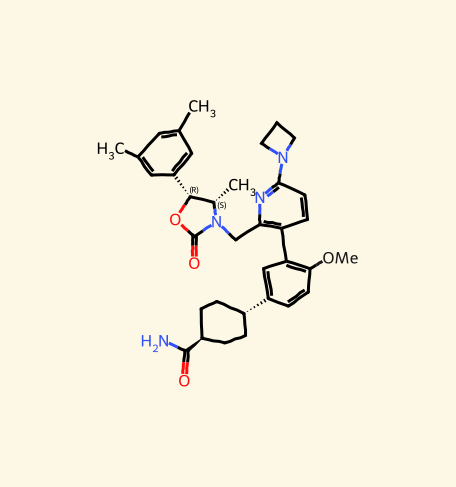 COc1ccc([C@H]2CC[C@H](C(N)=O)CC2)cc1-c1ccc(N2CCC2)nc1CN1C(=O)O[C@H](c2cc(C)cc(C)c2)[C@@H]1C